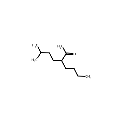 CCCCC(CCC(C)C)C(C)=O